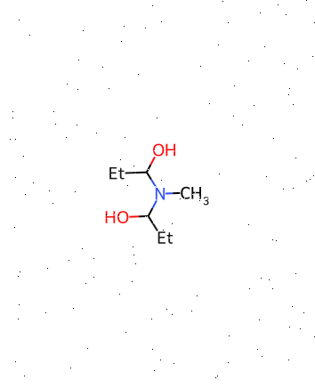 CCC(O)N(C)C(O)CC